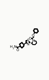 NC(=O)c1ccc(-c2csc([C@H]3CCCCN3C(=O)COc3ccccc3)n2)cc1